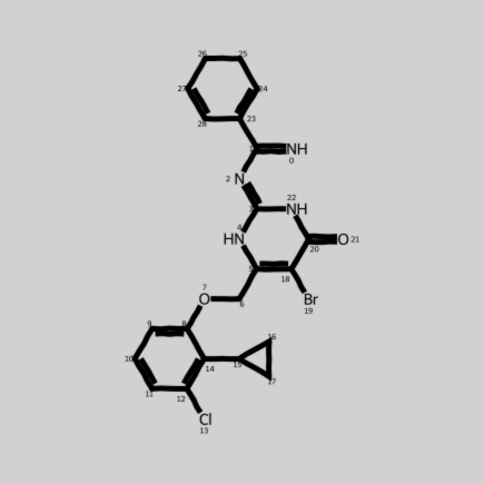 N=C(/N=c1/[nH]c(COc2cccc(Cl)c2C2CC2)c(Br)c(=O)[nH]1)C1=CCCC=C1